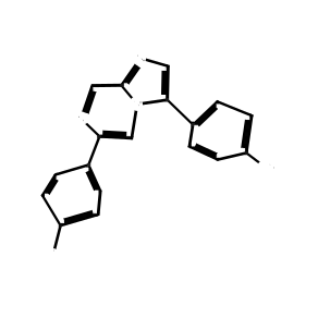 CCOC(=O)c1ccc(-c2cn3c(-c4ccc(C#N)cc4)cnc3cn2)cc1